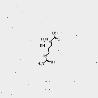 N=C(N)NCCC[C@H](N)C(=O)O.[KH]